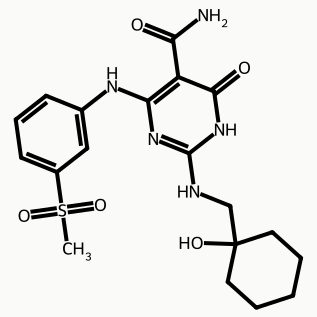 CS(=O)(=O)c1cccc(Nc2nc(NCC3(O)CCCCC3)[nH]c(=O)c2C(N)=O)c1